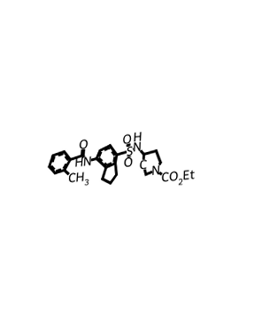 CCOC(=O)N1CCC(NS(=O)(=O)c2ccc(NC(=O)c3ccccc3C)c3c2CCC3)CC1